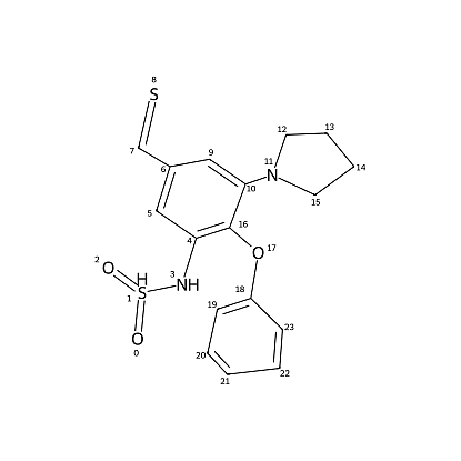 O=[SH](=O)Nc1cc(C=S)cc(N2CCCC2)c1Oc1ccccc1